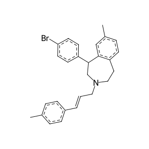 Cc1ccc(/C=C/CN2CCc3ccc(C)cc3C(c3ccc(Br)cc3)C2)cc1